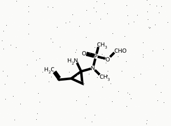 C=CC1CC1(N)N(C)P(C)(=O)OC=O